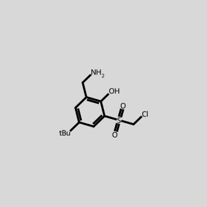 CC(C)(C)c1cc(CN)c(O)c(S(=O)(=O)CCl)c1